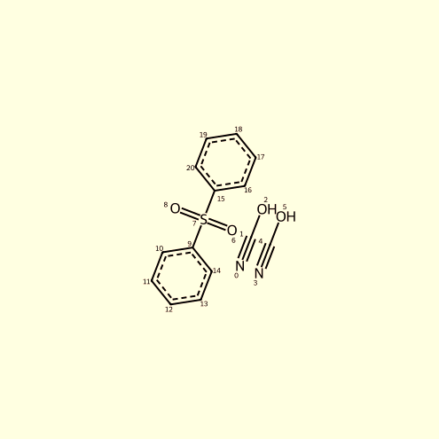 N#CO.N#CO.O=S(=O)(c1ccccc1)c1ccccc1